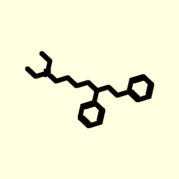 CCN(CC)CCCCC(CCc1ccccc1)c1ccccc1